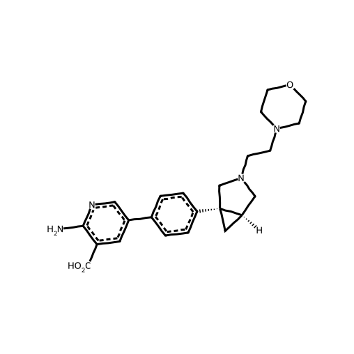 Nc1ncc(-c2ccc([C@@]34C[C@@H]3CN(CCN3CCOCC3)C4)cc2)cc1C(=O)O